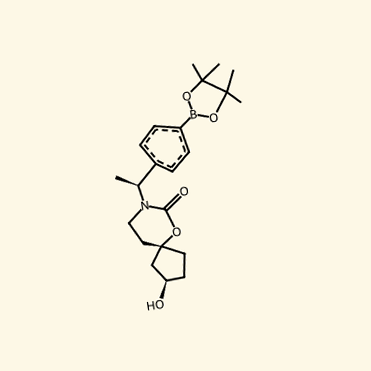 C[C@@H](c1ccc(B2OC(C)(C)C(C)(C)O2)cc1)N1CC[C@]2(CC[C@@H](O)C2)OC1=O